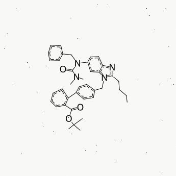 CCCCc1nc2ccc(N(Cc3ccccc3)C(=O)N(C)C)cc2n1Cc1ccc(-c2ccccc2C(=O)OC(C)(C)C)cc1